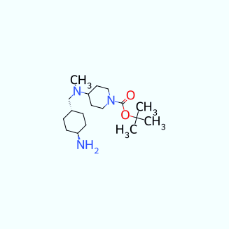 CN(C[C@H]1CC[C@H](N)CC1)C1CCN(C(=O)OC(C)(C)C)CC1